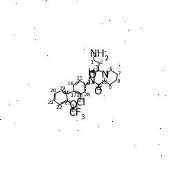 NCCC(=O)N1CCCCC1C(=O)Nc1ccc(-c2ccccc2OC(F)(F)F)c(Cl)c1